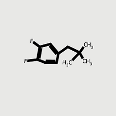 CC(C)(C)Cc1ccc(F)c(F)c1